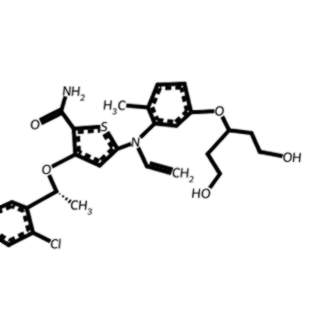 C=CN(c1cc(O[C@H](C)c2ccccc2Cl)c(C(N)=O)s1)c1cc(OC(CCO)CCO)ccc1C